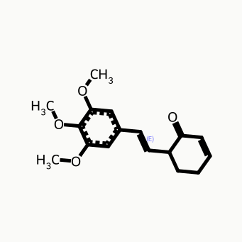 COc1cc(/C=C/C2CCC=CC2=O)cc(OC)c1OC